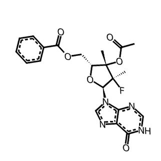 CC(=O)O[C@@]1(C)[C@@H](COC(=O)c2ccccc2)O[C@H](n2cnc3c(=O)[nH]cnc32)[C@]1(C)F